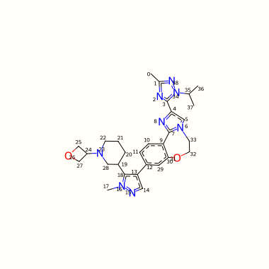 Cc1nc(-c2cn3c(n2)-c2ccc(-c4cnn(C)c4C4CCCN(C5COC5)C4)cc2OCC3)n(C(C)C)n1